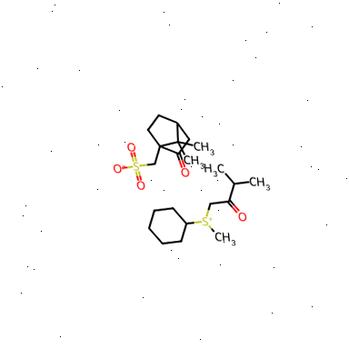 CC(C)C(=O)C[S+](C)C1CCCCC1.CC1(C)C2CCC1(CS(=O)(=O)[O-])C(=O)C2